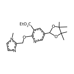 CCOC(=O)c1cc(C2OC(C)(C)C(C)(C)O2)cnc1OCc1nccn1C